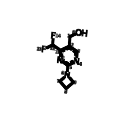 OCc1cnc(N2CCC2)nc1C(F)F